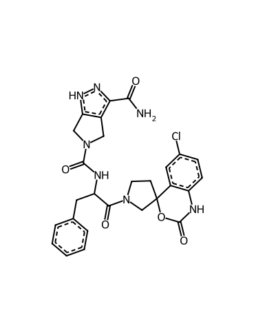 NC(=O)c1n[nH]c2c1CN(C(=O)NC(Cc1ccccc1)C(=O)N1CCC3(C1)OC(=O)Nc1ccc(Cl)cc13)C2